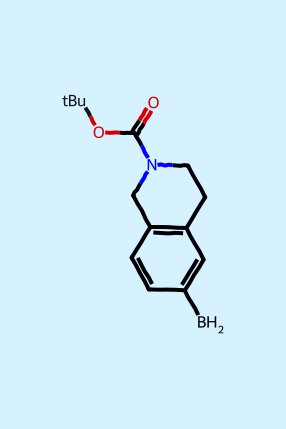 Bc1ccc2c(c1)CCN(C(=O)OC(C)(C)C)C2